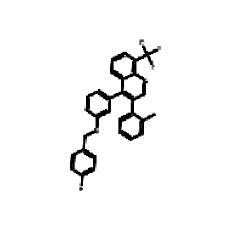 Cc1ccccc1-c1cnc2c(C(F)(F)F)cccc2c1-c1cccc(OCc2ccc(F)cc2)c1